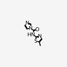 Cc1cnc(NC(=O)n2ccnc2)s1